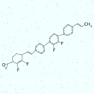 C/C=C/c1ccc(-c2ccc(-c3ccc(/C=C/C4CCC(C5CO5)C(F)=C4F)cc3)c(F)c2F)cc1